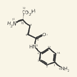 Nc1ccc(NC(=O)CC[C@H](N)C(=O)O)cc1